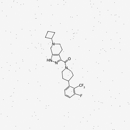 O=C(c1n[nH]c2c1CCN(C1CCC1)C2)N1CCC(c2cccc(F)c2C(F)(F)F)CC1